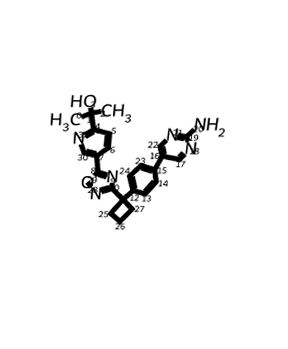 CC(C)(O)c1ccc(-c2nc(C3(c4ccc(-c5cnc(N)nc5)cc4)CCC3)no2)cn1